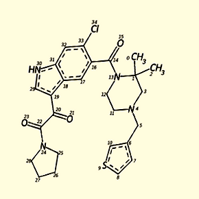 CC1(C)CN(Cc2ccsc2)CCN1C(=O)c1cc2c(C(=O)C(=O)N3CCCC3)c[nH]c2cc1Cl